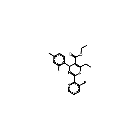 CCOC(=O)C1=C(CC)NC(c2ncccc2F)=NC1c1ccc(C)cc1F